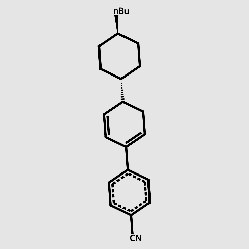 CCCC[C@H]1CC[C@H](C2C=CC(c3ccc(C#N)cc3)=CC2)CC1